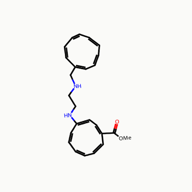 COC(=O)c1ccccccc(NCCNCc2ccccccccc2)cc1